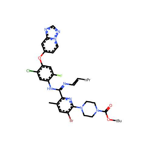 CCC/C=C/N=C(/Nc1cc(Cl)c(Oc2ccn3ncnc3c2)cc1F)c1nc(N2CCN(C(=O)OC(C)(C)C)CC2)c(Br)cc1C